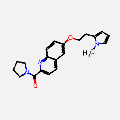 Cn1cccc1CCOc1ccc2nc(C(=O)N3CCCC3)ccc2c1